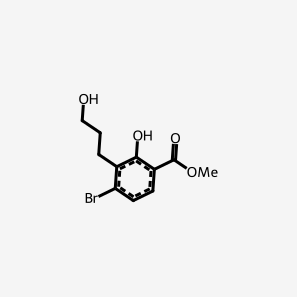 COC(=O)c1ccc(Br)c(CCCO)c1O